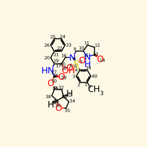 Cc1ccc(S(=O)(=O)N(CC2CCC(=O)N2)C[C@@H](O)C(Cc2ccccc2)NC(=O)O[C@@H]2C[C@@H]3CCO[C@@H]3C2)cc1